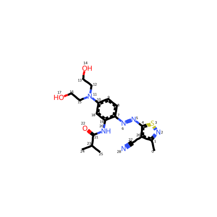 Cc1nsc(/N=N/c2ccc(N(CCO)CCO)cc2NC(=O)C(C)C)c1C#N